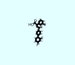 O=C(O)c1cc(-c2ccc(-c3ccc(F)cc3F)cc2)nc2c(F)cccc12